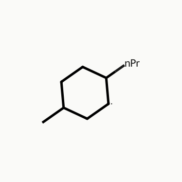 CCCC1[CH]CC(C)CC1